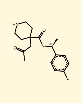 CC(=O)CC1(C(=O)N[C@@H](C)c2ccc(F)cc2)CCNCC1